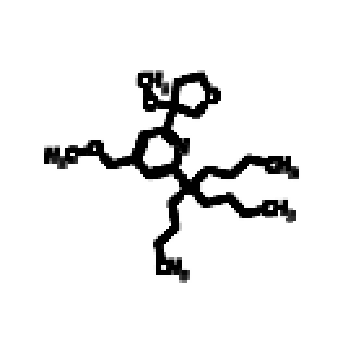 CCC[CH2][Sn]([CH2]CCC)([CH2]CCC)[c]1cc(COC)cc(C2(OC)CCOC2)n1